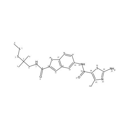 CSSC(C)(C)CNC(=O)c1cc2cc(NC(=O)c3sc(N)nc3C)ccc2s1